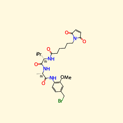 COc1cc(CBr)ccc1NC(=O)[C@H](C)NC(=O)[C@@H](NC(=O)CCCCCN1C(=O)C=CC1=O)C(C)C